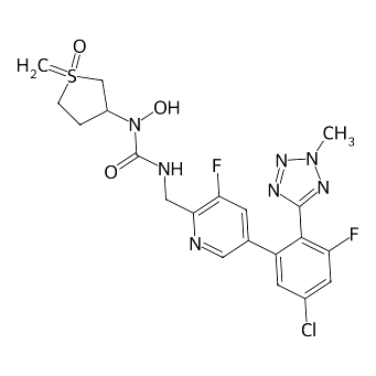 C=S1(=O)CCC(N(O)C(=O)NCc2ncc(-c3cc(Cl)cc(F)c3-c3nnn(C)n3)cc2F)C1